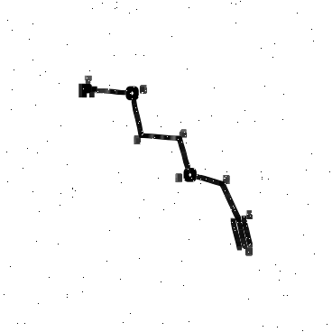 C#CCOCCOC(C)C